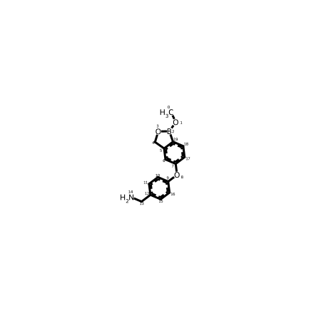 COB1OCc2cc(Oc3ccc(CN)cc3)ccc21